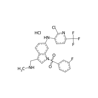 CNCc1cn(S(=O)(=O)c2cccc(F)c2)c2cc(Nc3ccc(C(F)(F)F)nc3Cl)ccc12.Cl